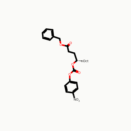 CCCCCCCC[C@@H](CCC(=O)OCc1ccccc1)OC(=O)Oc1ccc([N+](=O)[O-])cc1